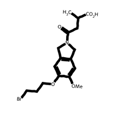 COc1cc2c(cc1OCCCBr)CN(C(=O)CC(C)C(=O)O)C2